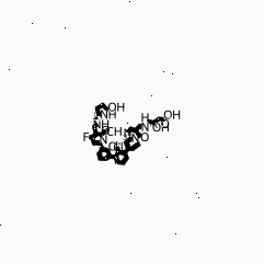 COc1nc(-c2cccc(-c3cccc(-c4ccn5c(=O)c(CNC[C@@H](O)CC(=O)O)cnc5c4)c3Cl)c2Cl)cc(F)c1CNC[C@@H]1CCC(O)N1